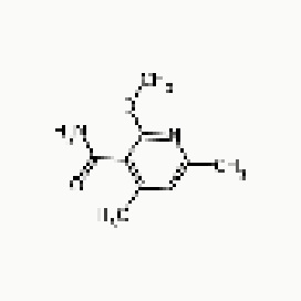 COc1nc(C)cc(C)c1C(N)=O